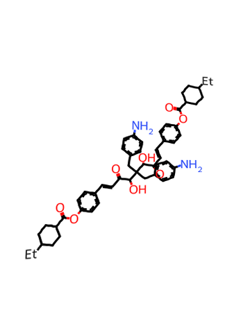 CCC1CCC(C(=O)Oc2ccc(/C=C/C(=O)C(O)C(Cc3ccc(N)cc3)(Cc3ccc(N)cc3)C(O)C(=O)/C=C/c3ccc(OC(=O)C4CCC(CC)CC4)cc3)cc2)CC1